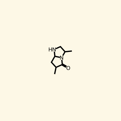 CC1CC2NCC(C)N2C1=O